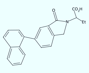 CCC(C(=O)O)N1Cc2ccc(-c3cccc4ccccc34)cc2C1=O